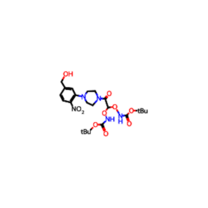 CC(C)(C)OC(=O)NOC(ONC(=O)OC(C)(C)C)C(=O)N1CCN(c2cc(CO)ccc2[N+](=O)[O-])CC1